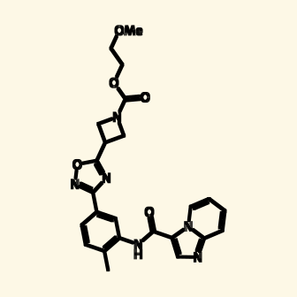 COCCOC(=O)N1CC(c2nc(-c3ccc(C)c(NC(=O)c4cnc5ccccn45)c3)no2)C1